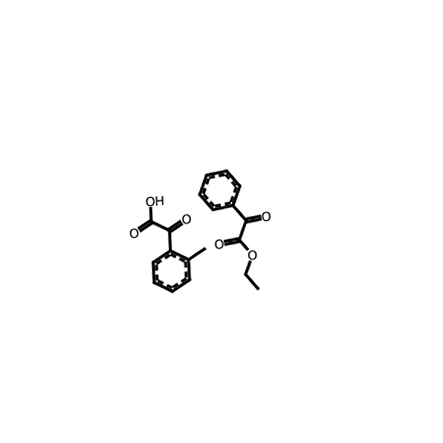 CCOC(=O)C(=O)c1ccccc1.Cc1ccccc1C(=O)C(=O)O